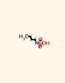 CCCC=NS(=O)(=O)O